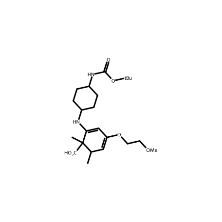 COCCOC1=CC(C)C(C)(C(=O)O)C(NC2CCC(NC(=O)OC(C)(C)C)CC2)=C1